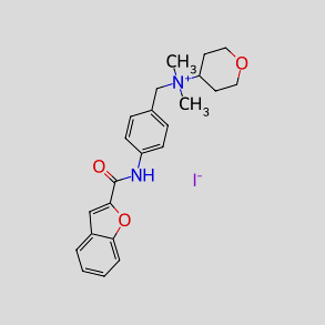 C[N+](C)(Cc1ccc(NC(=O)c2cc3ccccc3o2)cc1)C1CCOCC1.[I-]